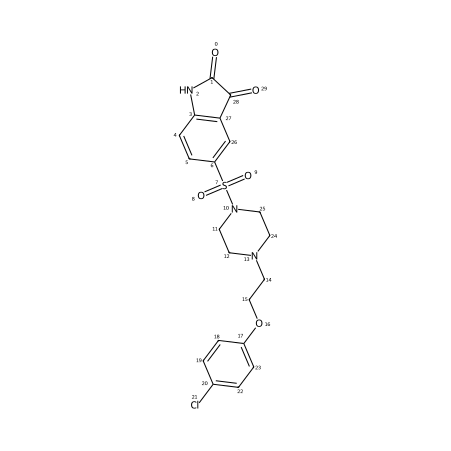 O=C1Nc2ccc(S(=O)(=O)N3CCN(CCOc4ccc(Cl)cc4)CC3)cc2C1=O